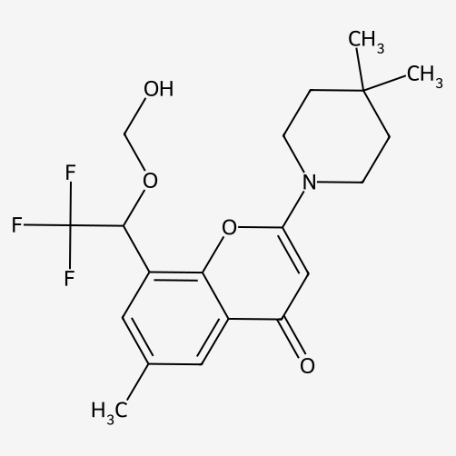 Cc1cc(C(OCO)C(F)(F)F)c2oc(N3CCC(C)(C)CC3)cc(=O)c2c1